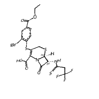 CCOC(=O)c1ccc(SC2=C(C(=O)O)N3C(=O)[C@@H](NC(=S)CC(F)(F)F)[C@@H]3SC2)c(Br)c1